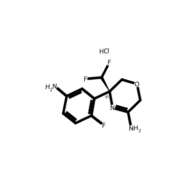 Cl.NC1=N[C@@](c2cc(N)ccc2F)(C(F)F)COC1